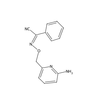 N#CC(=NOCc1cccc(N)n1)c1ccccc1